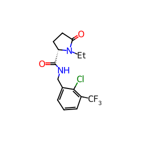 CCN1C(=O)CC[C@H]1C(=O)NCc1cccc(C(F)(F)F)c1Cl